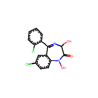 O=C1C(O)N=C(c2ccccc2Cl)c2cc(Cl)ccc2N1O